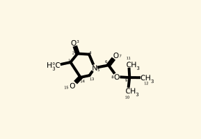 CC1C(=O)CN(C(=O)OC(C)(C)C)CC1=O